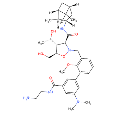 COc1c(CN2O[C@@H](CO)[C@H]([C@H](C)O)[C@H]2C(=O)N[C@H]2C[C@H]3C[C@@H]([C@@H]2C)C3(C)C)cccc1-c1cc(C(=O)NCCN)cc(N(C)C)c1